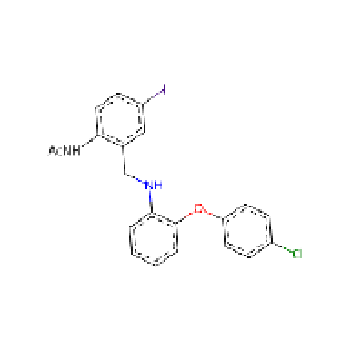 CC(=O)Nc1ccc(I)cc1CNc1ccccc1Oc1ccc(Cl)cc1